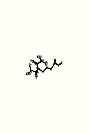 [CH2]CNCCCN(C(=O)C(Cl)Cl)C(=O)C(Cl)Cl